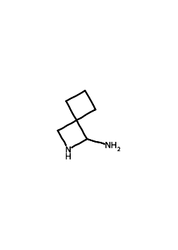 NC1NCC12CCC2